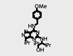 COc1ccc(CNc2nc(NC(CO)C(C)C)n(C(C)C)c3c(C(C)C)nnc2-3)cc1